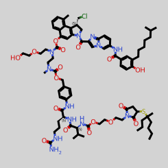 CCCCC(C)(CCC)SC1CC(=O)N(CCOCCOC(=O)N[C@H](C(=O)N[C@@H](CCCNC(N)=O)C(=O)Nc2ccc(COC(=O)N(C)CCN(CCOCCO)C(=O)Oc3cc4c(c5c(C)cccc35)[C@H](CCl)CN4C(=O)c3cn4cc(NC(=O)c5ccc(O)c(CCCCCC(C)C)c5)ccc4n3)cc2)C(C)C)C1=O